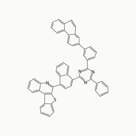 c1ccc(-c2nc(-c3cccc(-c4ccc5c(ccc6ccccc65)c4)c3)nc(-c3ccc(-c4nc5ccccc5c5c4sc4ccccc45)c4ccccc34)n2)cc1